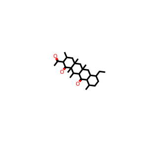 CCC1CCC(C)C2C(=O)C3C(C)C4(C)C(=O)C(C(C)=O)C(C)CC4(C)CC3(C)CC12